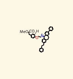 COC(Cc1ccc(OCCN(C)C2c3ccc(CCc4ccccc4)cc3CCc3cc(-c4ccccc4)ccc32)cc1)C(=O)O